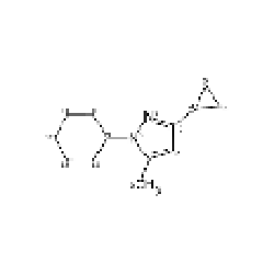 Cc1cc(C2CC2)nn1C1CCCCC1